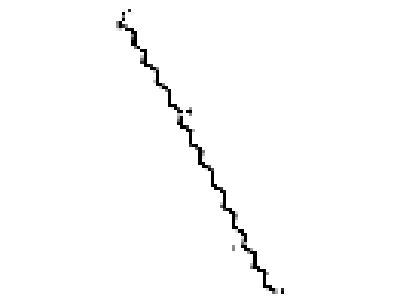 CC(C)CCCCNCCCCCCCCCCCCNCCCCCCCCNC(C)C